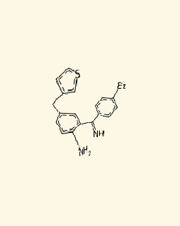 CCc1ccc(C(=N)c2cc(Cc3ccsc3)ccc2N)cc1